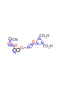 N#C[C@@H]1CCCN1C(=O)CNC(=O)c1ccnc2ccc(OCCCN3CCN(C(=O)CN4CCN(CC(=O)O)CCN(CC(=O)O)CC4)CC3)cc12